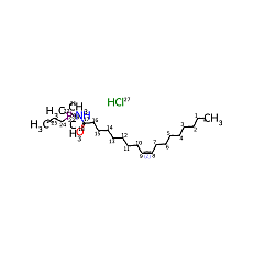 CCCCCCCC/C=C\CCCCCCCC(=O)NP(C)(C)(C)CCC.Cl